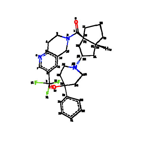 O=C(N1CCc2ncc(C(F)(F)F)cc2C1)[C@@]12CCC[C@@H]1C[C@H](N1CCC(O)(c3ccccc3)CC1)C2